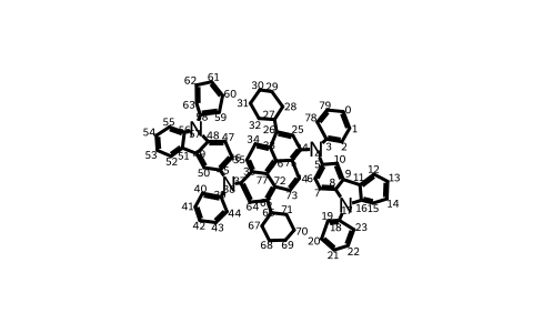 c1ccc(N(c2ccc3c(c2)c2ccccc2n3-c2ccccc2)c2cc(C3CCCCC3)c3ccc4c(N(c5ccccc5)c5ccc6c(c5)c5ccccc5n6-c5ccccc5)cc(C5CCCCC5)c5ccc2c3c54)cc1